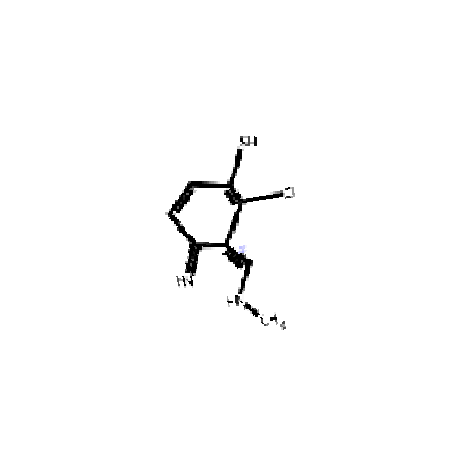 CN/C=C1\C(=N)C=CC(S)=C1Cl